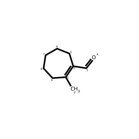 CC1=C(C=O)CCCCC1